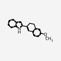 COc1ccc2c(c1)CCC(c1cc3ccccc3[nH]1)=C2